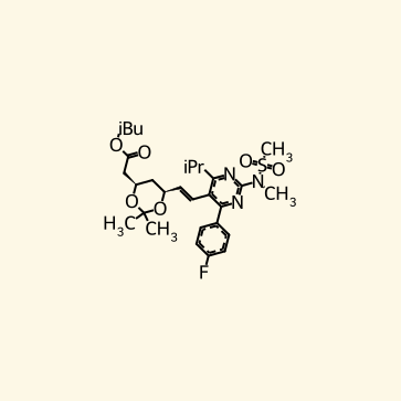 CCC(C)OC(=O)C[C@H]1C[C@@H](/C=C/c2c(-c3ccc(F)cc3)nc(N(C)S(C)(=O)=O)nc2C(C)C)OC(C)(C)O1